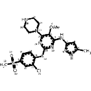 COc1c(Nc2cc(C)[nH]n2)nc(Sc2ccc(S(C)(=O)=O)cc2Cl)nc1N1CCNCC1